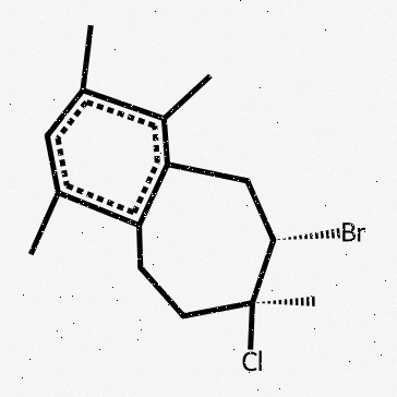 Cc1cc(C)c2c(c1C)C[C@H](Br)[C@@](C)(Cl)CC2